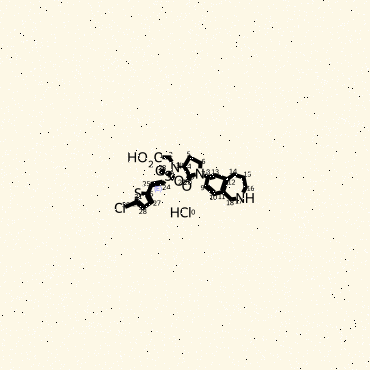 Cl.O=C(O)CN([C@H]1CCN(c2ccc3c(c2)CCCNC3)C1=O)S(=O)(=O)/C=C/c1ccc(Cl)s1